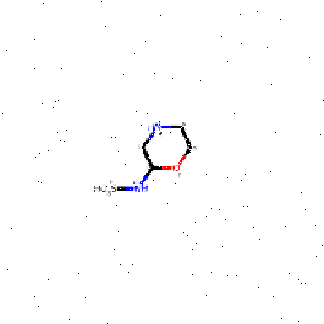 O=S(=O)(O)NC1CNCCO1